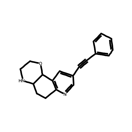 C(#Cc1cnc2c(c1)C1OCCNC1CC2)c1ccccc1